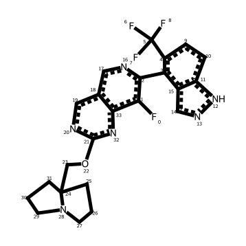 Fc1c(-c2c(C(F)(F)F)ccc3[nH]ncc23)ncc2cnc(OCC34CCCN3CCC4)nc12